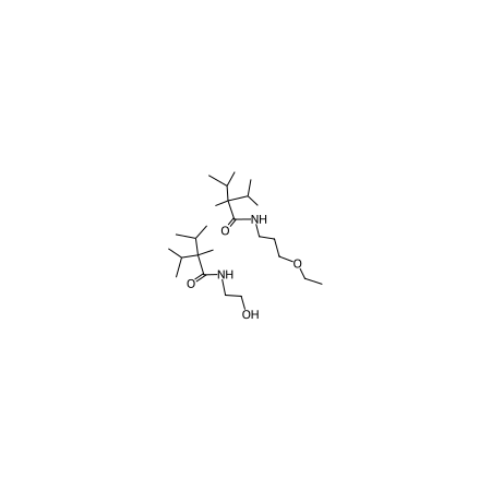 CC(C)C(C)(C(=O)NCCO)C(C)C.CCOCCCNC(=O)C(C)(C(C)C)C(C)C